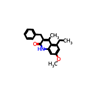 CCc1cc(OC)cc2[nH]c(=O)c(Cc3ccccc3)c(C)c12